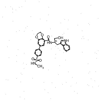 CNS(=O)(=O)c1ccc(-c2cc3c(c(C(=O)N[C@@H](CO)Cc4c[nH]c5ccccc45)c2)OCCO3)cc1